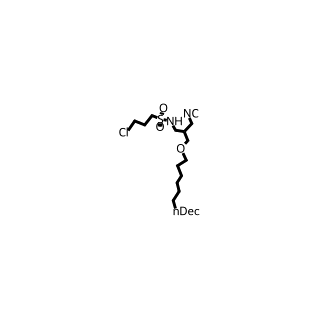 CCCCCCCCCCCCCCCCOCC(CC#N)CNS(=O)(=O)CCCCl